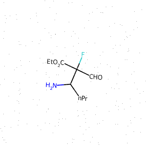 CCCC(N)C(F)(C=O)C(=O)OCC